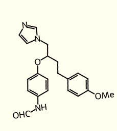 COc1ccc(CCC(Cn2ccnc2)Oc2ccc(NC=O)cc2)cc1